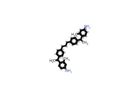 Cc1cc(N)ccc1C(C)c1ccc(CCCc2ccc(C(C)c3ccc(N)cc3C)cc2)cc1